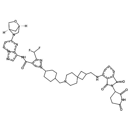 O=C1CCC(N2C(=O)c3cccc(NCC4CC5(CCN(CC6CCC(n7cc(C(=O)Nc8cnn9ccc(N%10C[C@H]%11C[C@@H]%10CO%11)nc89)c(C(F)F)n7)CC6)CC5)C4)c3C2=O)C(=O)N1